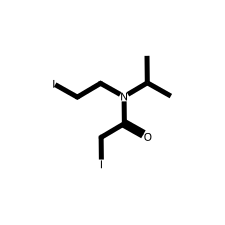 CC(C)N(CCI)C(=O)CI